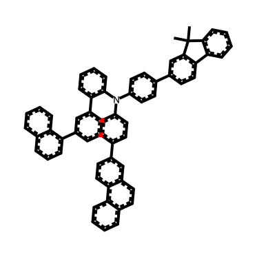 CC1(C)c2ccccc2-c2ccc(-c3ccc(N(c4ccc(-c5ccc6c(ccc7ccccc76)c5)cc4)c4ccccc4-c4cccc(-c5cccc6ccccc56)c4)cc3)cc21